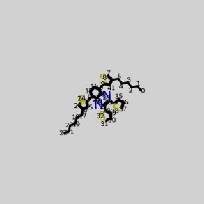 CCCCCCc1csc(-c2ccc(-c3cc(CCCCCC)cs3)c3nc(-c4cccs4)c(-c4cccs4)nc23)c1